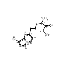 CC(C)OC(=O)N(C)CCCc1ccn2ncc(Br)c2n1